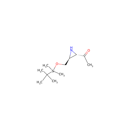 CC(=O)[C@H]1N[C@@H]1CO[Si](C)(C)C(C)(C)C